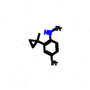 CC(C)Nc1ccc(C(C)C)cc1C1(C)CC1